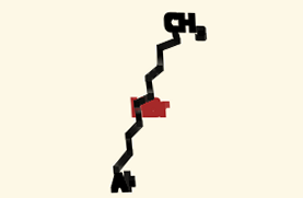 Br.CCCCCCCCCC[CH2][Al]